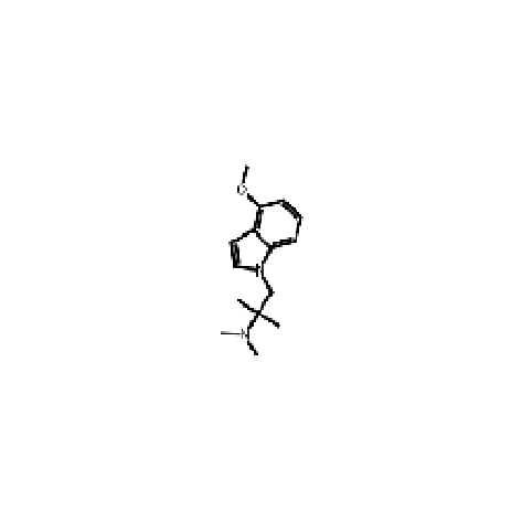 COc1cccc2c1ccn2CC(C)(C)N(C)C